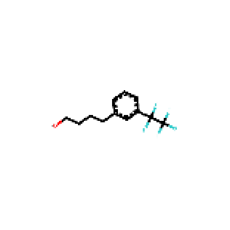 [O]CCCCc1cccc(C(F)(F)C(F)(F)F)c1